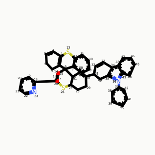 C1=CC2=C(CC1)C1(c3ccccc3S2)C2C=CC(c3ccccn3)=CC2SC2CCC(C3C=Cc4c(n(-c5ccccc5)c5ccccc45)C3)=CC21